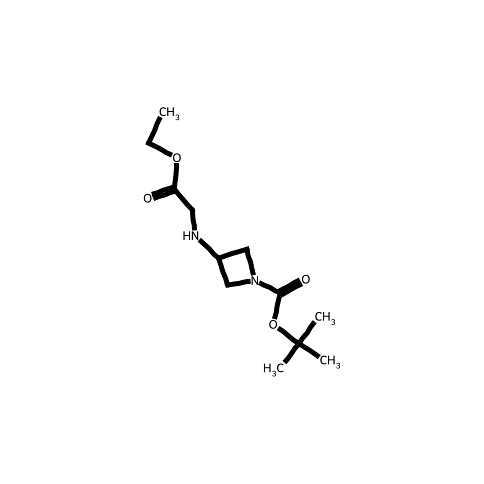 CCOC(=O)CNC1CN(C(=O)OC(C)(C)C)C1